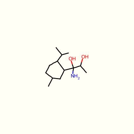 CC1CCC(C(C)C)C(C(N)(O)C(C)O)C1